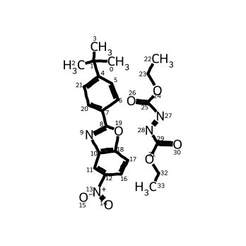 CC(C)(C)c1ccc(-c2nc3cc([N+](=O)[O-])ccc3o2)cc1.CCOC(=O)/N=N/C(=O)OCC